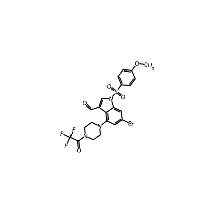 COc1ccc(S(=O)(=O)n2cc(C=O)c3c(N4CCN(C(=O)C(F)(F)F)CC4)cc(Br)cc32)cc1